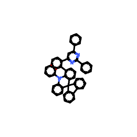 c1ccc(-c2cc(-c3ccccc3-c3cccc4c3N(c3ccccc3)c3ccccc3C43c4ccccc4-c4ccccc43)nc(-c3ccccc3)n2)cc1